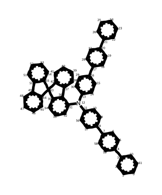 c1ccc(-c2ccc(-c3ccc(N(c4ccc(-c5ccc(-c6ccccc6)cc5)cc4)c4cccc5c4-c4ccccc4C54c5ccccc5-c5ccccc54)cc3)cc2)cc1